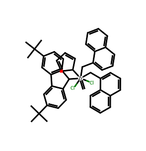 [CH2]=[Zr]([Cl])([Cl])([CH2]c1cccc2ccccc12)([CH2]c1cccc2ccccc12)([CH]1C=CC=C1)[CH]1c2ccc(C(C)(C)C)cc2-c2cc(C(C)(C)C)ccc21